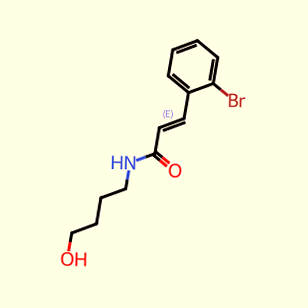 O=C(/C=C/c1ccccc1Br)NCCCCO